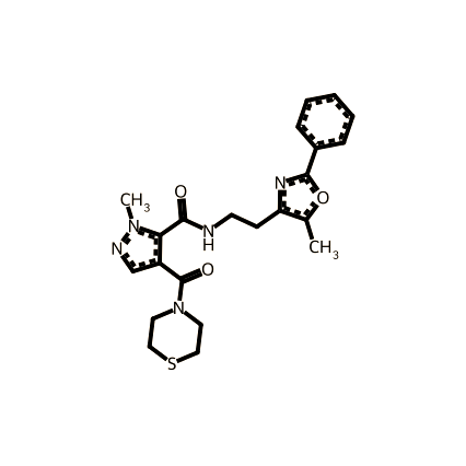 Cc1oc(-c2ccccc2)nc1CCNC(=O)c1c(C(=O)N2CCSCC2)cnn1C